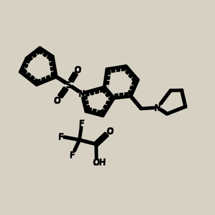 O=C(O)C(F)(F)F.O=S(=O)(c1ccccc1)n1ccc2c(CN3CCCC3)cccc21